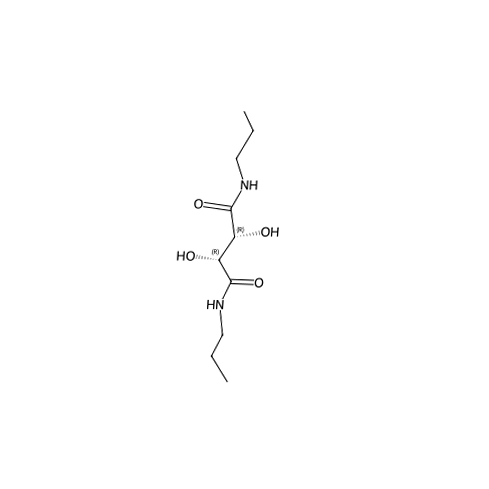 CCCNC(=O)[C@H](O)[C@@H](O)C(=O)NCCC